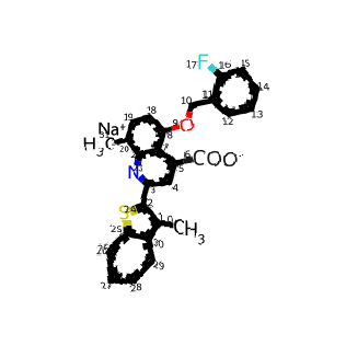 Cc1c(-c2cc(C(=O)[O-])c3c(OCc4ccccc4F)ccc(C)c3n2)sc2ccccc12.[Na+]